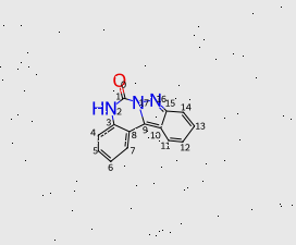 O=c1[nH]c2ccccc2c2c3ccccc3nn12